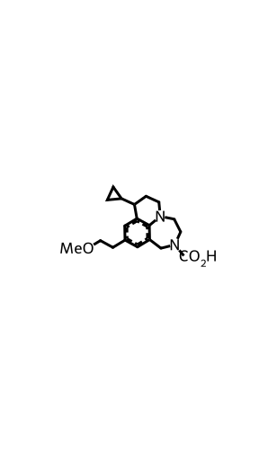 COCCc1cc2c3c(c1)C(C1CC1)CCN3CCN(C(=O)O)C2